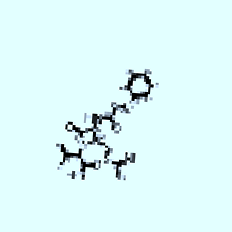 C=C(C)C(C(=O)O)N1C(=O)C(NC(=O)COc2ccccc2)C1SSC(C)=N